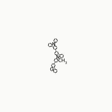 Cc1cc(-c2ccc3oc4ccccc4c3c2)ccc1-n1c2ccccc2c2cc(-c3ccc4c(c3)c3ccccc3n4-c3ccccc3)ccc21